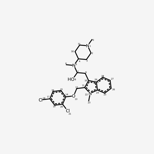 CN1CCC(N(C)C(O)Cc2c(COc3ccc(Cl)cc3Cl)n(C)c3ccccc23)CC1